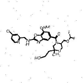 COc1cc(C(=O)N2CC(C)(CCO)OCC2COC(F)F)cc2nc(NCc3cc(Cl)ccn3)oc12